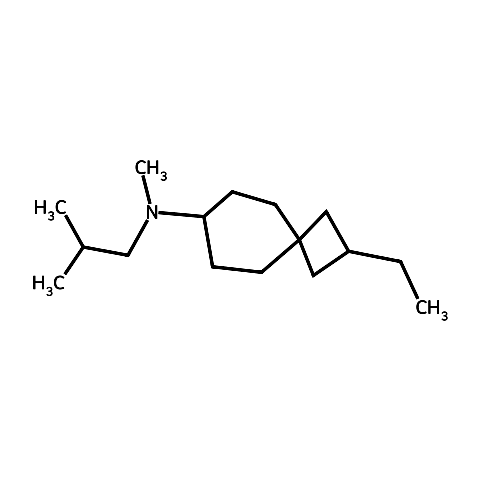 CCC1CC2(CCC(N(C)CC(C)C)CC2)C1